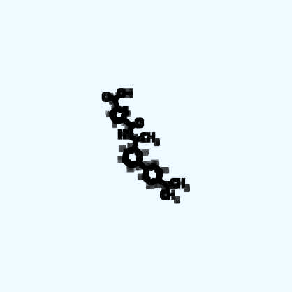 CC(NC(=O)c1ccc(C(=O)O)s1)c1cccc(-c2ccc(N(C)C)cc2)c1